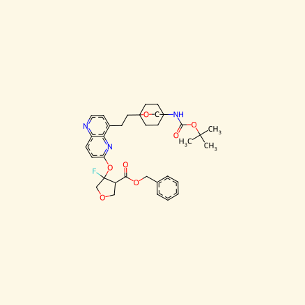 CC(C)(C)OC(=O)NC12CCC(CCc3ccnc4ccc(OC5(F)COCC5C(=O)OCc5ccccc5)nc34)(CC1)OC2